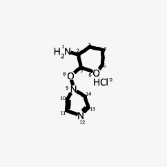 Cl.NC1CCCOC1ON1C=CN=CC1